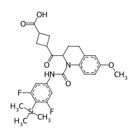 COc1ccc2c(c1)CCC(C(=O)C1CC(C(=O)O)C1)N2C(=O)Nc1cc(F)c([Si](C)(C)C)c(F)c1